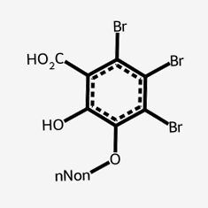 CCCCCCCCCOc1c(O)c(C(=O)O)c(Br)c(Br)c1Br